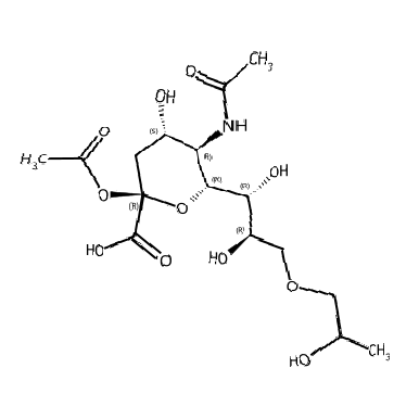 CC(=O)N[C@H]1[C@H]([C@H](O)[C@H](O)COCC(C)O)O[C@](OC(C)=O)(C(=O)O)C[C@@H]1O